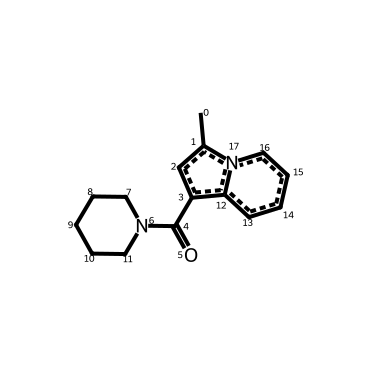 Cc1cc(C(=O)N2CCCCC2)c2ccccn12